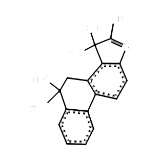 CC1=Nc2ccc3c(c2C1(C)C)CC(C)(C)c1ccccc1-3